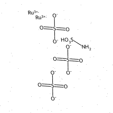 NS(=O)(=O)O.O=S(=O)([O-])[O-].O=S(=O)([O-])[O-].O=S(=O)([O-])[O-].[Ru+3].[Ru+3]